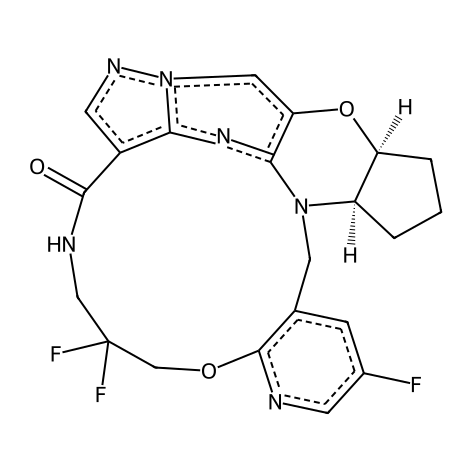 O=C1NCC(F)(F)COc2ncc(F)cc2CN2c3nc4c1cnn4cc3O[C@H]1CCC[C@H]12